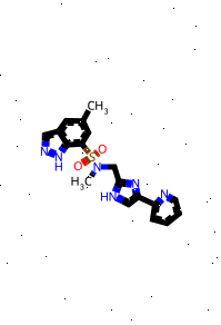 Cc1cc(S(=O)(=O)N(C)Cc2nc(-c3ccccn3)c[nH]2)c2[nH]ncc2c1